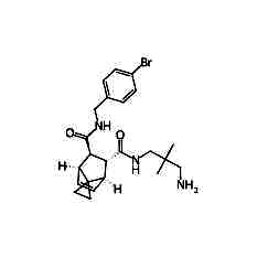 CC(C)(CN)CNC(=O)[C@H]1[C@H](C(=O)NCc2ccc(Br)cc2)[C@@H]2C=C[C@H]1C21CC1